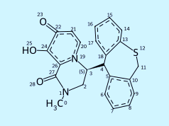 CN1C[C@H](C2c3ccccc3CSc3ccccc32)n2ccc(=O)c(O)c2C1=O